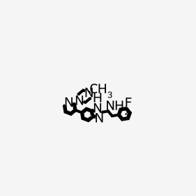 CN1CCN(c2ncccc2-c2ccc3nc([C@H](N)Cc4cccc(F)c4)[nH]c3c2)CC1